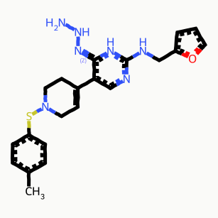 Cc1ccc(SN2CC=C(c3cnc(NCc4ccco4)[nH]/c3=N\NN)CC2)cc1